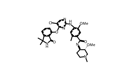 COc1cc(C(=O)/N=C2/CCN(C)C[C@H]2OC)c(C)cc1Nc1ncc(Cl)c(Oc2cccc3c2C(=O)NC3(C)C)n1